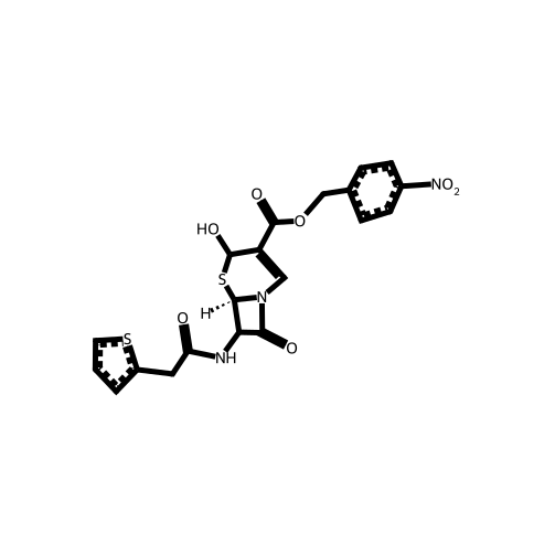 O=C(Cc1cccs1)NC1C(=O)N2C=C(C(=O)OCc3ccc([N+](=O)[O-])cc3)C(O)S[C@H]12